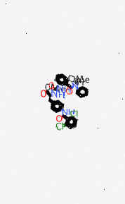 COC(=O)[C@H](Cc1ccc(NC(=O)c2c(Cl)cccc2Cl)cc1)NC(=O)Nc1cccc(OC)c1C(=O)N(C(C)C)C1CCCCC1